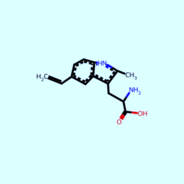 C=Cc1ccc2[nH]c(C)c(CC(N)C(=O)O)c2c1